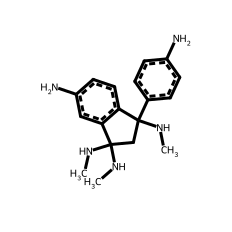 CNC1(NC)CC(NC)(c2ccc(N)cc2)c2ccc(N)cc21